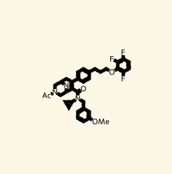 COc1cccc(CN(C(=O)C2=C(c3ccc(CCCOc4c(F)ccc(F)c4F)cc3)CC3CN(C(C)=O)CC2N3)C2CC2)c1